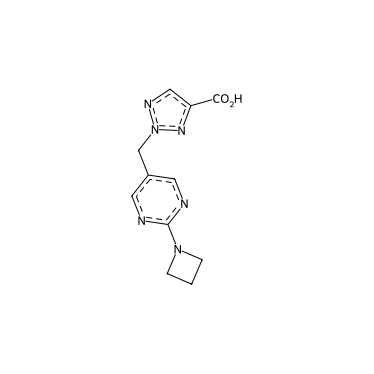 O=C(O)c1cnn(Cc2cnc(N3CCC3)nc2)n1